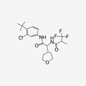 CC(C(=O)NC(C(=O)Nc1ccc(C(C)(C)C)c(Cl)c1)C1CCOCC1)C(F)(F)F